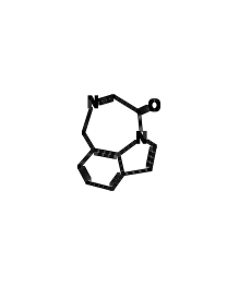 O=C1C=NCc2cccc3ccn1c23